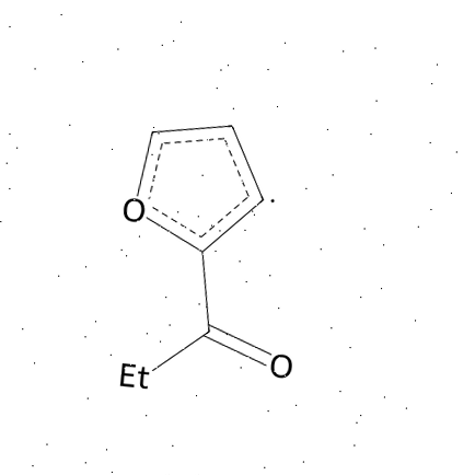 CCC(=O)c1[c]cco1